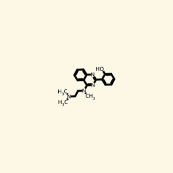 CN(C)CCN(C)c1nc(-c2ccccc2O)nc2ccccc12